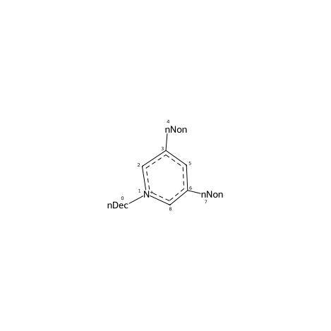 CCCCCCCCCC[n+]1cc(CCCCCCCCC)cc(CCCCCCCCC)c1